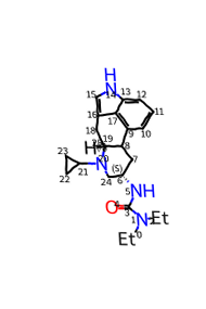 CCN(CC)C(=O)N[C@H]1CC2c3cccc4[nH]cc(c34)C[C@H]2N(C2CC2)C1